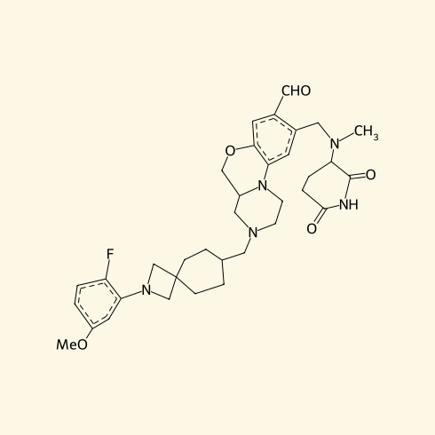 COc1ccc(F)c(N2CC3(CCC(CN4CCN5c6cc(CN(C)C7CCC(=O)NC7=O)c(C=O)cc6OCC5C4)CC3)C2)c1